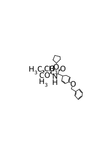 CC(C)(C)OC(=O)N[C@H](C(=O)OC1CCCC1)C1C=CC(OCc2ccccc2)=CC1